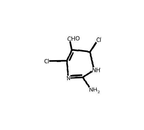 NC1=NC(Cl)=C(C=O)C(Cl)N1